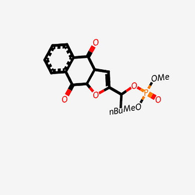 CCCCC(OP(=O)(OC)OC)C1=CC2C(=O)c3ccccc3C(=O)C2O1